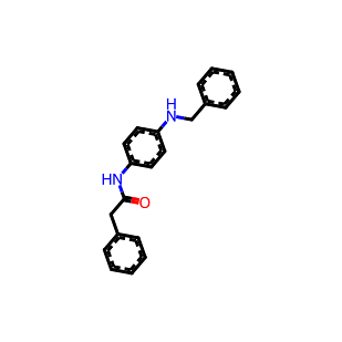 O=C(Cc1ccccc1)Nc1ccc(NCc2ccccc2)cc1